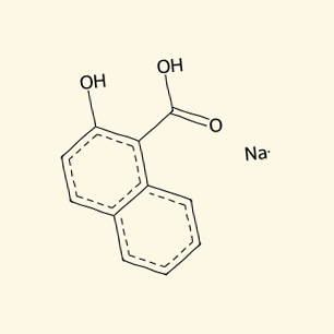 O=C(O)c1c(O)ccc2ccccc12.[Na]